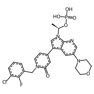 C[C@@H](OP(=O)(O)O)n1cc(-c2ccn(Cc3cccc(Cl)c3F)c(=O)c2)c2cc(N3CCOCC3)cnc21